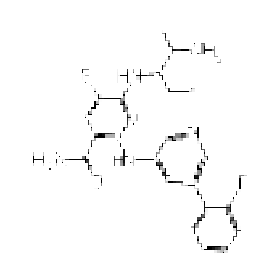 CCC(Nc1nc(Nc2cncc(-c3ccccc3F)c2)c(C(N)=O)cc1F)C(C)N